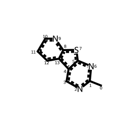 Cc1ncc2c(n1)sc1ncccc12